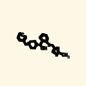 Cc1nc(CSc2ccccc2C(O)N2CCN(Cc3ccccc3)CC2)cs1